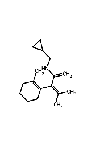 C=C(NCC1CC1)C(=C(C)C)C1=C(C)CCCC1